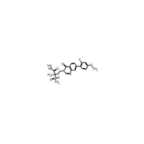 COc1ccc(-c2ccc3c(=O)n(CCC(C)(C(=O)NO)S(C)(=O)=O)cnc3c2)c(F)c1